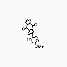 COC(=O)[C@H](C)NC(=O)c1cc2c(s1)C(=O)c1ccsc1C2=O